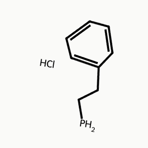 Cl.PCCc1ccccc1